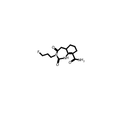 NC(=O)C1=C2NC(=O)N(CCCF)C(=O)CC2CCC1